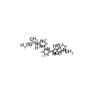 COC(C)CNc1nccc(-c2cccc(-c3cc(C4(O)CCN(C)C4=O)on3)n2)n1